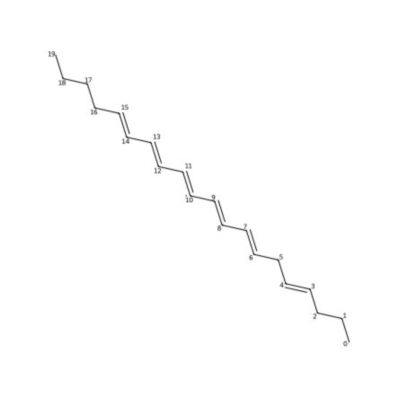 CCCC=CCC=CC=C/[C]=C/C=CC=CCCCC